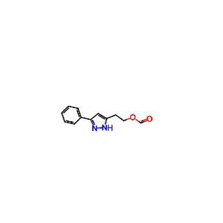 O=COCCc1cc(-c2ccccc2)n[nH]1